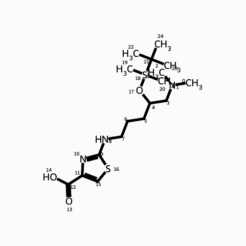 CN(C)CC(CCCNc1nc(C(=O)O)cs1)O[Si](C)(C)C(C)(C)C